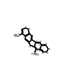 CC(C)(C)C1=CCCc2cc3c(cc21)Cc1c-3cc2c(c1C(C)(C)C)=CCCC=2